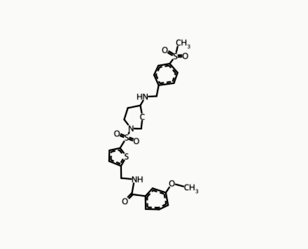 COc1cccc(C(=O)NCc2ccc(S(=O)(=O)N3CCC(NCc4ccc(S(C)(=O)=O)cc4)CC3)s2)c1